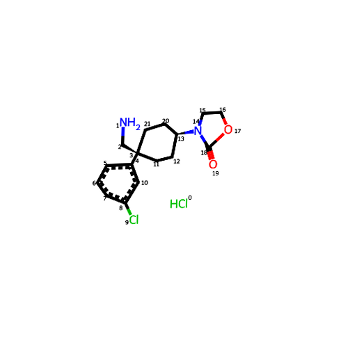 Cl.NC[C@]1(c2cccc(Cl)c2)CC[C@H](N2CCOC2=O)CC1